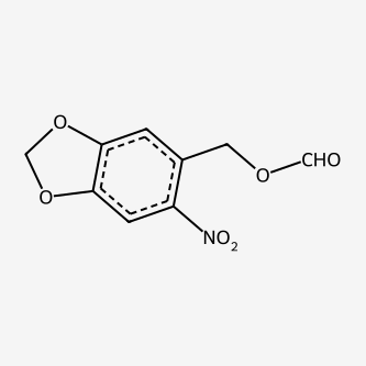 O=COCc1cc2c(cc1[N+](=O)[O-])OCO2